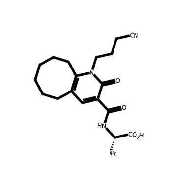 CC(C)[C@H](NC(=O)c1cc2c(n(CCCC#N)c1=O)CCCCCC2)C(=O)O